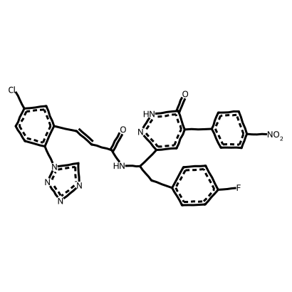 O=C(C=Cc1cc(Cl)ccc1-n1cnnn1)NC(Cc1ccc(F)cc1)c1cc(-c2ccc([N+](=O)[O-])cc2)c(=O)[nH]n1